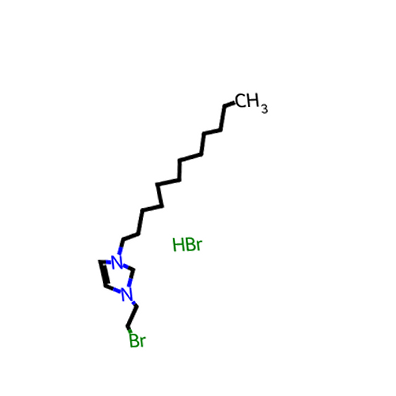 Br.CCCCCCCCCCCCN1C=CN(CCBr)C1